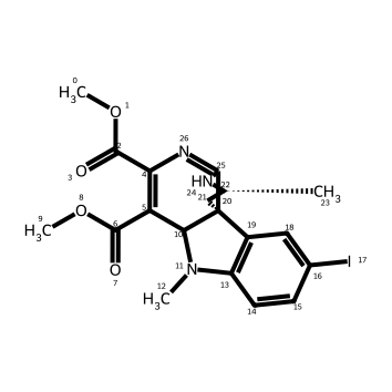 COC(=O)C1=C(C(=O)OC)C2N(C)c3ccc(I)cc3[C@@]23C[C@@H](C)NC3=N1